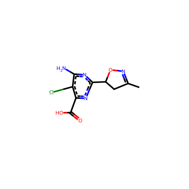 CC1=NOC(c2nc(N)c(Cl)c(C(=O)O)n2)C1